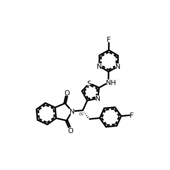 O=C1c2ccccc2C(=O)N1[C@@H](Cc1ccc(F)cc1)c1csc(Nc2ncc(F)cn2)n1